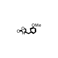 COc1cccc(CC2=NC(=O)OC2)c1